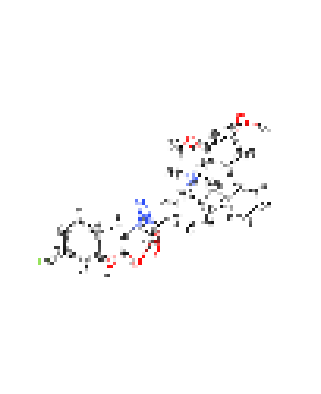 COC(=O)[C@H](Cc1ccc(F)cc1)NC(=O)c1ccc2c(C3CCCCC3)c3n(c2c1)CCOc1cc(OC)ccc1-3